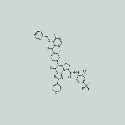 Cc1ncnc(C(=O)N2CCN(c3c4n(c5nc(C6=CCOCC6)nn5c3=O)[C@H](C(=O)Nc3ccc(C(F)(F)F)cc3Cl)C[C@H]4C)C[C@H]2C)c1OCc1ccccc1